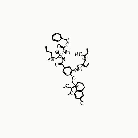 C=CC[C@H](C)CS(=O)(=NC(=O)c1ccc(OC[C@@]2(C(OC)OC)CCCc3cc(Cl)ccc32)c(NC[C@@H]2CC[C@H]2[C@@H](O)C=C)c1)NC(=O)O[C@@H](C)c1ccccc1